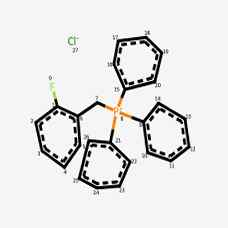 Fc1ccccc1C[P+](c1ccccc1)(c1ccccc1)c1ccccc1.[Cl-]